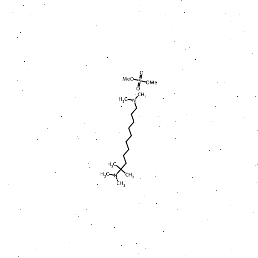 CN(C)CCCCCCCCCC(C)(C)N(C)C.COS(=O)(=O)OC